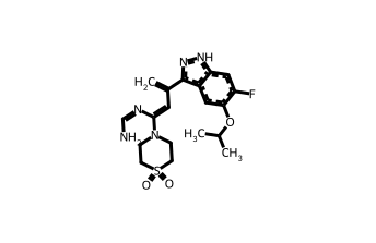 C=C(/C=C(\N=C/N)N1CCS(=O)(=O)CC1)c1n[nH]c2cc(F)c(OC(C)C)cc12